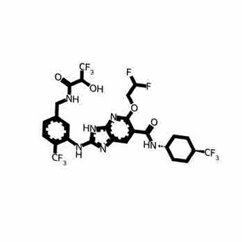 O=C(N[C@H]1CC[C@H](C(F)(F)F)CC1)c1cc2nc(Nc3cc(CNC(=O)C(O)C(F)(F)F)ccc3C(F)(F)F)[nH]c2nc1OCC(F)F